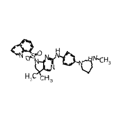 CNC1CCCN(c2ccc(Nc3ncc4c(n3)N(S(=O)(=O)c3cccc5cccnc35)CC4(C)C)cc2)C1